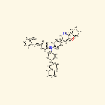 c1ccc2cc(-c3ccc(N(c4ccc(-c5ccc6ccccc6c5)cc4)c4ccc(-c5cnc6c(c5)oc5ccccc56)cc4)cc3)ccc2c1